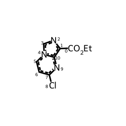 CCOC(=O)c1ncn2ccc(Cl)nc12